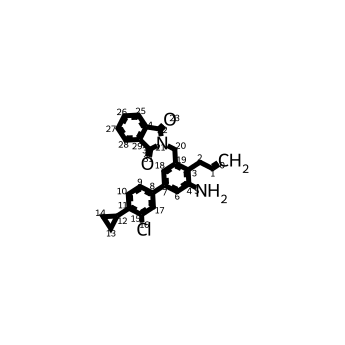 C=CCc1c(N)cc(-c2ccc(C3CC3)c(Cl)c2)cc1CN1C(=O)c2ccccc2C1=O